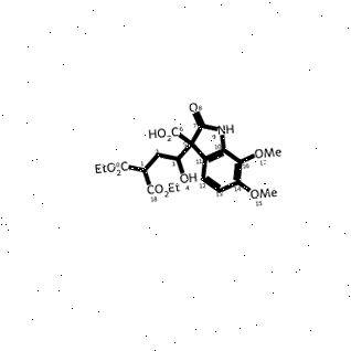 CCOC(=O)C(CC(O)C1(C(=O)O)C(=O)Nc2c1ccc(OC)c2OC)C(=O)OCC